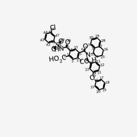 O=C(O)c1cc(C(=O)O)c(C(=O)N(Cc2cccc(Oc3ccccc3)c2)[C@H]2CCCc3ccccc32)cc1C(=O)NS(=O)(=O)c1cccc(Cl)c1